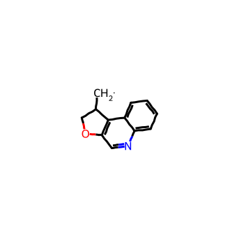 [CH2]C1COc2cnc3ccccc3c21